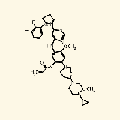 C=CC(=O)Nc1cc(Nc2cc(N3OCC[C@@H]3c3cccc(F)c3F)ncn2)c(OC)cc1N1CCC(N2CCN(C3CC3)[C@H](C)C2)CC1